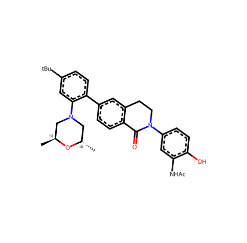 CC(=O)Nc1cc(N2CCc3cc(-c4ccc(C(C)(C)C)cc4N4C[C@H](C)O[C@@H](C)C4)ccc3C2=O)ccc1O